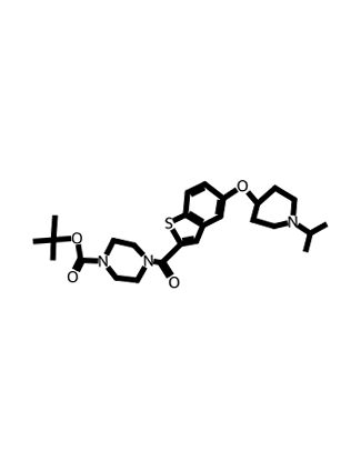 CC(C)N1CCC(Oc2ccc3sc(C(=O)N4CCN(C(=O)OC(C)(C)C)CC4)cc3c2)CC1